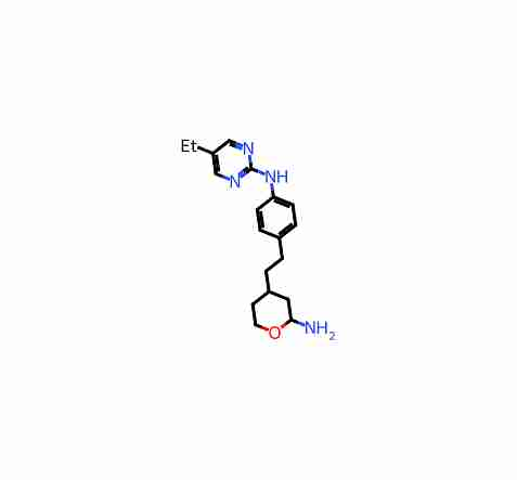 CCc1cnc(Nc2ccc(CCC3CCOC(N)C3)cc2)nc1